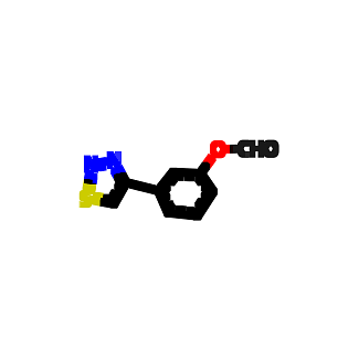 O=COc1cccc(-c2csnn2)c1